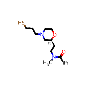 CC(C)C(=O)N(C)CC[C@H]1CN(CCCS)CCO1